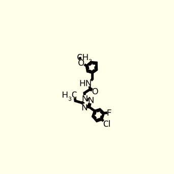 CCc1nc(-c2ccc(Cl)c(F)c2)nn1CC(=O)NCc1cccc(OC)c1